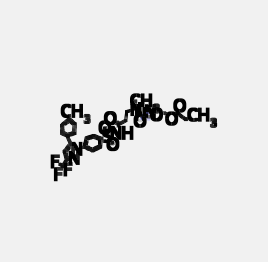 CCC(=O)OCO/N=[N+](\[O-])N(C)CCC(=O)NS(=O)(=O)c1ccc(-n2nc(C(F)(F)F)cc2-c2ccc(C)cc2)cc1